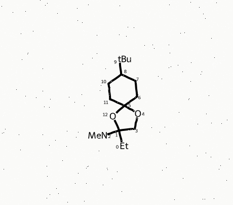 CCC1(NC)COC2(CCC(C(C)(C)C)CC2)O1